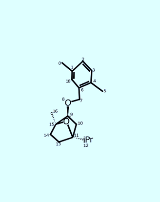 Cc1ccc(C)c(CO[C@H]2C[C@@]3(C(C)C)CC[C@]2(C)O3)c1